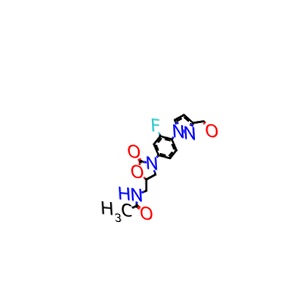 CC(=O)NCC1CN(c2ccc(-n3ccc(C=O)n3)c(F)c2)C(=O)O1